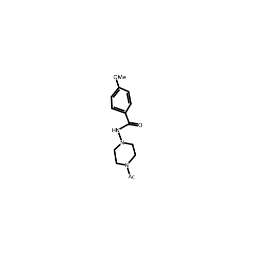 COc1ccc(C(=O)NN2CCN(C(C)=O)CC2)cc1